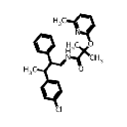 Cc1cccc(OC(C)(C)C(=O)NC[C@H](c2ccccc2)[C@H](C)c2ccc(Cl)cc2)n1